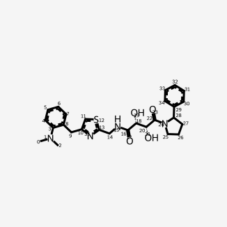 CN(C)c1ccccc1Cc1csc(CNC(=O)[C@H](O)[C@@H](O)C(=O)N2CCCC2c2ccccc2)n1